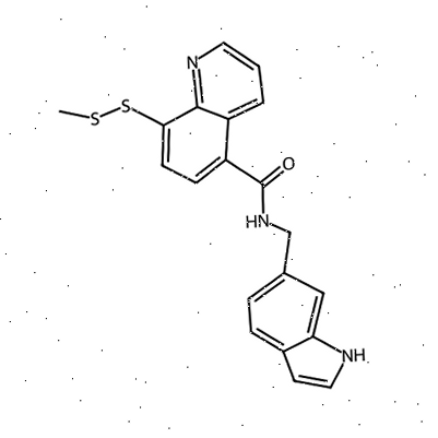 CSSc1ccc(C(=O)NCc2ccc3cc[nH]c3c2)c2cccnc12